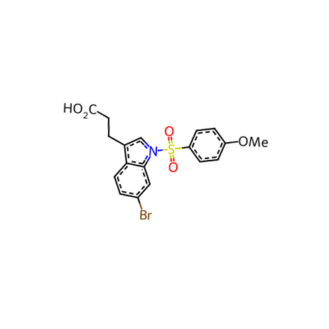 COc1ccc(S(=O)(=O)n2cc(CCC(=O)O)c3ccc(Br)cc32)cc1